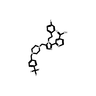 O=C(O)c1ccnc(-c2ncc(CN3CCN(Cc4ccc(C(F)(F)F)cc4)CC3)n2CCc2ccc(F)cc2)c1